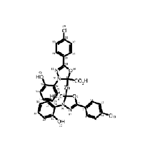 O=C(O)[C]1([Zn][C]2(C(=O)O)OC(c3ccc(Cl)cc3)=NN2c2ccccc2O)OC(c2ccc(Cl)cc2)=NN1c1ccccc1O